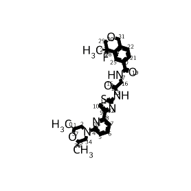 C[C@@H]1CN(c2cccc(-c3csc(NC(=O)CNC(=O)c4ccc5c(c4)[C@](C)(F)COC5)n3)n2)C[C@H](C)O1